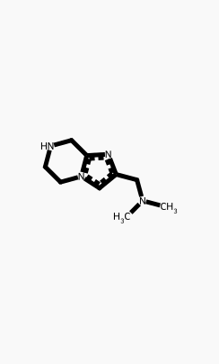 CN(C)Cc1cn2c(n1)CNCC2